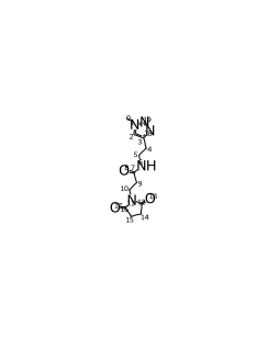 Cn1cc(CCNC(=O)CCN2C(=O)CCC2=O)nn1